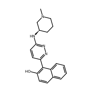 CN1CCC[C@@H](Nc2ccc(-c3c(O)ccc4ccccc34)nn2)C1